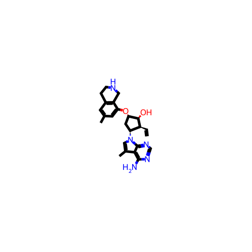 C=C[C@@H]1[C@H](O)[C@@H](Oc2cc(C)cc3c2CNCC3)C[C@H]1n1cc(C)c2c(N)ncnc21